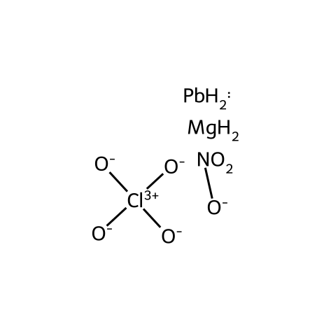 O=[N+]([O-])[O-].[MgH2].[O-][Cl+3]([O-])([O-])[O-].[PbH2]